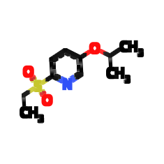 CCS(=O)(=O)c1ccc(OC(C)C)cn1